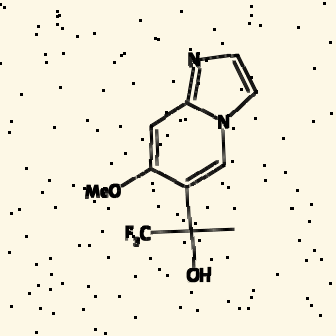 COc1cc2nccn2cc1C(C)(O)C(F)(F)F